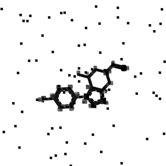 CC1CN(C=O)Cc2nnn(-c3ccc(F)cc3)c21